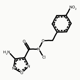 Nc1nonc1C(=O)N(Cl)OCc1ccc([N+](=O)[O-])cc1